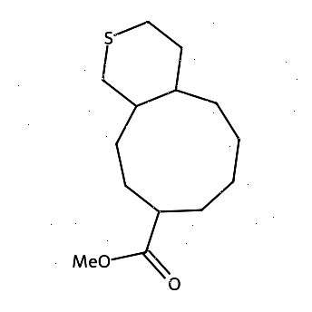 COC(=O)C1CCCCC2CCSCC2CC1